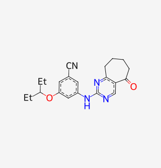 CCC(CC)Oc1cc(C#N)cc(Nc2ncc3c(n2)CCCCC3=O)c1